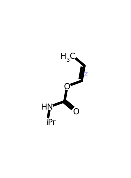 C/C=C\OC(=O)NC(C)C